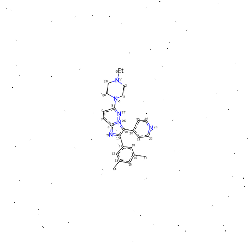 CCN1CCN(c2ccc3nc(-c4cc(C)cc(C)c4)c(-c4ccncc4)n3n2)CC1